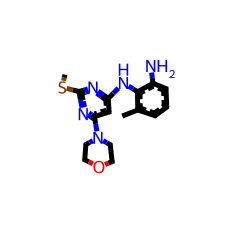 CSc1nc(Nc2c(C)cccc2N)cc(N2CCOCC2)n1